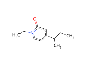 CCC(C)c1ccn(CC)c(=O)c1